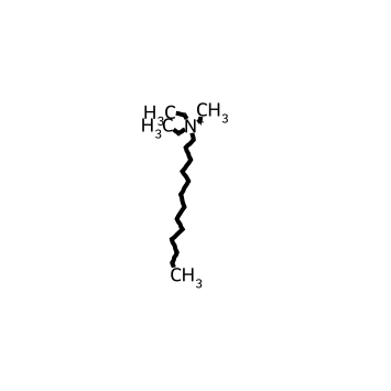 CCCCCCCCCCCCC[N+](CC)(CC)CC